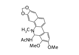 COc1ccc2c(c1OC)C(NC(C)=O)N(C)c1c-2ccc2cc3c(cc12)OCO3